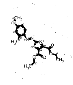 C=Nc1ccc(/N=N/c2nc(C(=O)OCC)c(C(=O)OCC)s2)c(C)c1